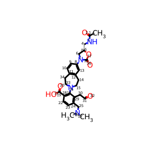 CC(=O)NC[C@H]1CN(c2ccc3c(c2)CCN(c2c(C(=O)O)ccc(CN(C)C)c2CC=O)CC3)C(=O)O1